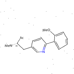 CN[C@@H](Cc1ccc(-c2ccccc2OC)nc1)C(C)=O